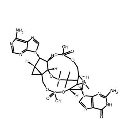 CO[C@H]1[C@H]2OP(=O)(O)OCC34C[C@@H]3[C@@H](n3cnc5c(N)ncnc53)[C@H](OP(=O)(O)OC[C@H]1O[C@H]2n1cnc2c(=O)[nH]c(N)nc21)[C@@H]4O[Si](C)(C)C(C)(C)C